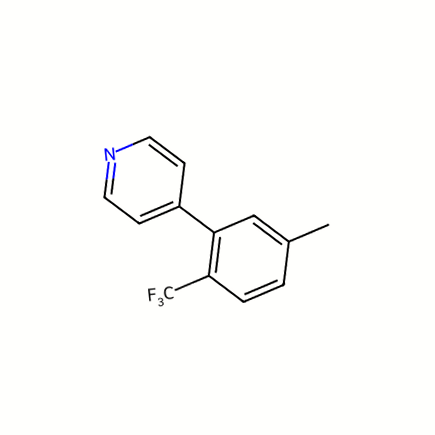 Cc1ccc(C(F)(F)F)c(-c2ccncc2)c1